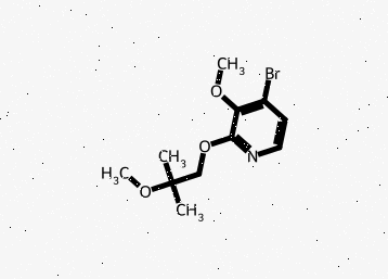 COc1c(Br)ccnc1OCC(C)(C)OC